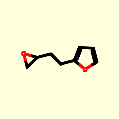 [CH](CC1CO1)c1ccco1